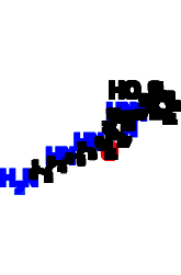 NCCCCNCCCNC(=O)c1ccc(NN=Cc2ccccc2S(=O)(=O)O)nc1